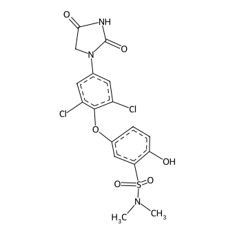 CN(C)S(=O)(=O)c1cc(Oc2c(Cl)cc(N3CC(=O)NC3=O)cc2Cl)ccc1O